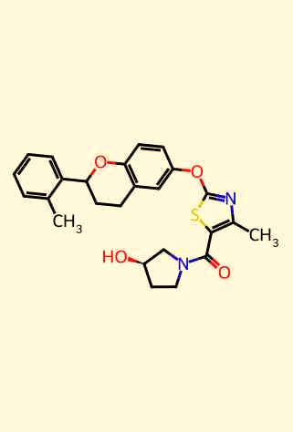 Cc1ccccc1C1CCc2cc(Oc3nc(C)c(C(=O)N4CC[C@@H](O)C4)s3)ccc2O1